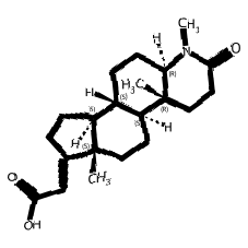 CN1C(=O)CC[C@]2(C)[C@H]3CC[C@]4(C)C(=CC(=O)O)CC[C@H]4[C@@H]3CC[C@@H]12